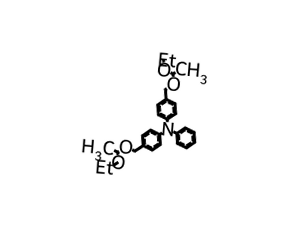 CCOC(C)OCc1ccc(N(c2ccccc2)c2ccc(COC(C)OCC)cc2)cc1